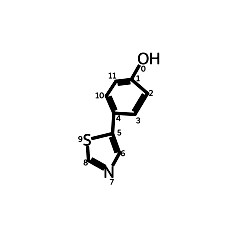 Oc1ccc(-c2cncs2)cc1